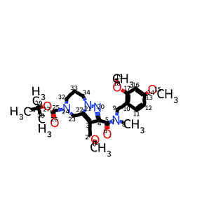 COCc1c(C(=O)N(C)Cc2ccc(OC)cc2OC)nn2c1CN(C(=O)OC(C)(C)C)CCC2